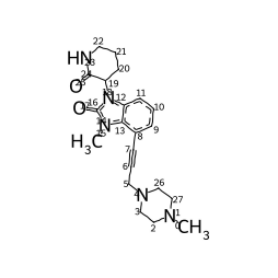 CN1CCN(CC#Cc2cccc3c2n(C)c(=O)n3C2CCCNC2=O)CC1